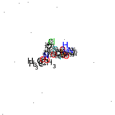 CC(C)(C)OC(=O)N1CC[C@@H](c2ccc(Cl)cc2)[C@H](COc2cc(F)c(S(=O)(=O)NC(=O)c3ccccn3)cc2F)C1